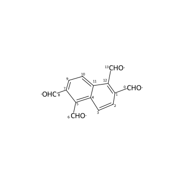 O=[C]c1ccc2c([C]=O)c([C]=O)ccc2c1[C]=O